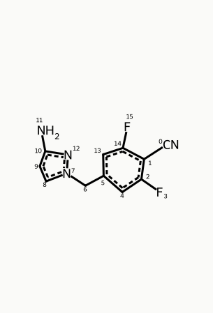 N#Cc1c(F)cc(Cn2ccc(N)n2)cc1F